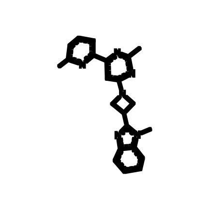 Cc1cccc(-c2cc(N3CC(c4nc5ccccc5n4C)C3)nc(C)n2)n1